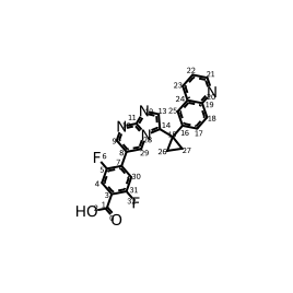 O=C(O)c1cc(F)c(-c2cnc3ncc(C4(c5ccc6ncccc6c5)CC4)n3c2)cc1F